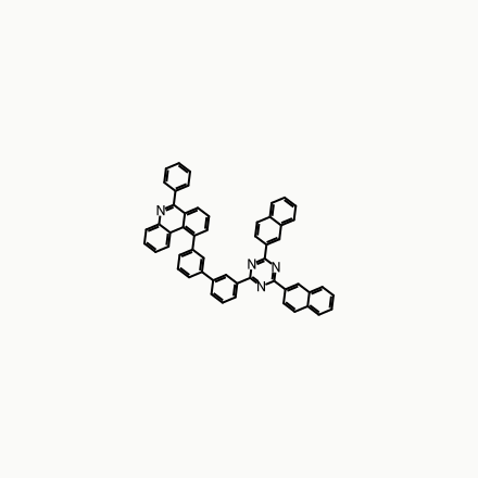 c1ccc(-c2nc3ccccc3c3c(-c4cccc(-c5cccc(-c6nc(-c7ccc8ccccc8c7)nc(-c7ccc8ccccc8c7)n6)c5)c4)cccc23)cc1